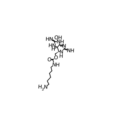 N=C1N[C@H]2[C@H](COC(=O)NCCCCCCN)NC(=N)N3CC[C@H](O)[C@]23N1